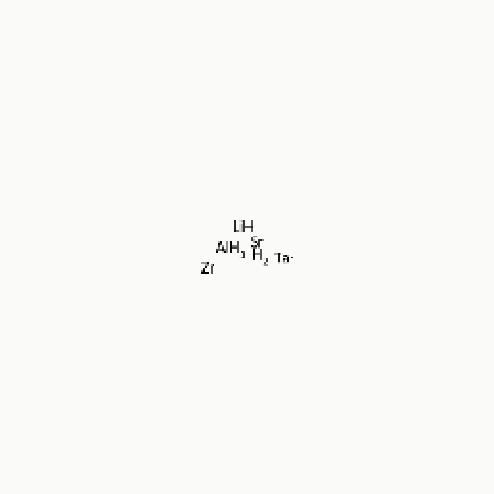 [AlH3].[LiH].[SrH2].[Ta].[Zr]